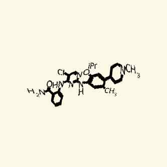 Cc1cc(Nc2ncc(Cl)c(Nc3ccccc3C(N)=O)n2)c(OC(C)C)cc1C1CCN(C)CC1